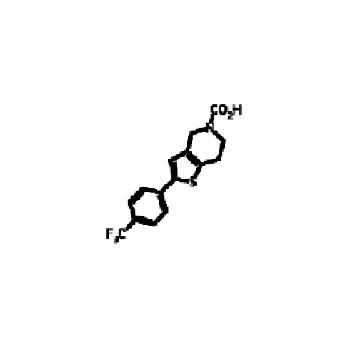 O=C(O)N1CCc2sc(-c3ccc(C(F)(F)F)cc3)cc2C1